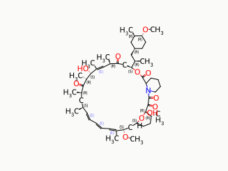 CO[C@H]1C[C@@H]2CC[C@@H](C)[C@@](O)(O2)C(=O)C(=O)N2CCCCC2C(=O)O[C@H]([C@H](C)C[C@@H]2CC[C@@H](OC)[C@H](C)C2)CC(=O)[C@H](C)/C=C(\C)[C@@H](O)[C@@H](C)C(=O)[C@H](C)C[C@H](C)/C=C/C=C/C=C/1C